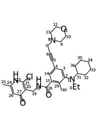 CCN(c1cc(C#CCN2CCOCC2)cc(C(=O)NCc2c(Cl)[nH]c(C)cc2=O)c1C)C1CCCCC1